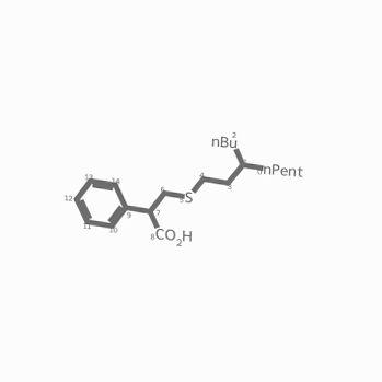 CCCCCC(CCCC)CCSCC(C(=O)O)c1ccccc1